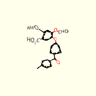 COc1cc(OC=O)c(Oc2ccc(C(=O)c3ccc(C)cc3)cc2)cc1C(=O)O